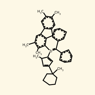 Cc1cc2c(cc1C)-c1cc(C)c(C)[c]([Zr]([C]3=CC(C4(C)CCCCC4)=CC3C)=[C](c3ccccc3)c3ccccc3)c1C2